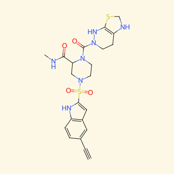 C#Cc1ccc2[nH]c(S(=O)(=O)N3CCN(C(=O)N4CCC5=C(N4)SCN5)C(C(=O)NC)C3)cc2c1